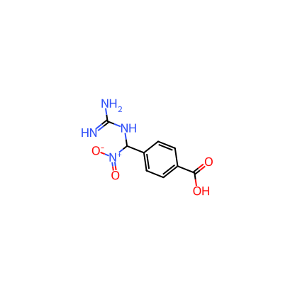 N=C(N)NC(c1ccc(C(=O)O)cc1)[N+](=O)[O-]